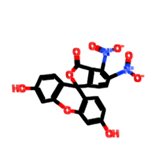 O=C1OC2(c3ccc(O)cc3Oc3cc(O)ccc32)c2ccc([N+](=O)[O-])c([N+](=O)[O-])c21